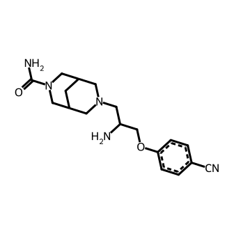 N#Cc1ccc(OCC(N)CN2CC3CC(C2)CN(C(N)=O)C3)cc1